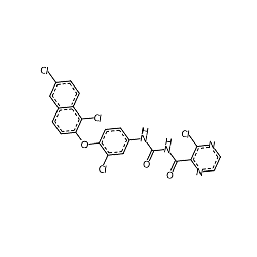 O=C(NC(=O)c1nccnc1Cl)Nc1ccc(Oc2ccc3cc(Cl)ccc3c2Cl)c(Cl)c1